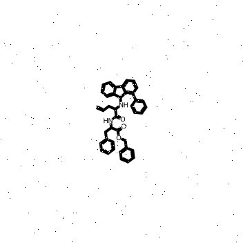 C=CCC(NC1c2ccccc2-c2cccc(-c3ccccc3)c21)C(=O)NC(Cc1ccccc1)C(=O)OCc1ccccc1